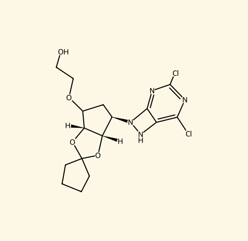 OCCOC1C[C@@H](n2[nH]c3c(Cl)nc(Cl)nc32)[C@@H]2OC3(CCCC3)O[C@H]12